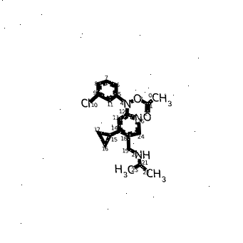 CC(=O)ON(c1cccc(Cl)c1)c1cc(C2CC2)c(CNC(C)C)cn1